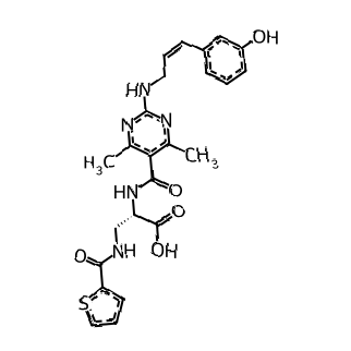 Cc1nc(NC/C=C\c2cccc(O)c2)nc(C)c1C(=O)N[C@@H](CNC(=O)c1cccs1)C(=O)O